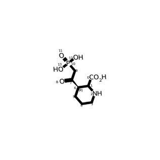 O=C(O)C1NCCC[C@H]1C(=O)CP(=O)(O)O